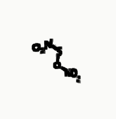 O=[N+]([O-])OS[N+](=O)[O-]